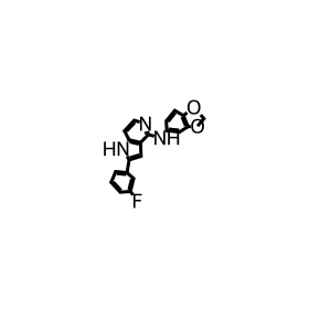 Fc1cccc(-c2cc3c(Nc4ccc5c(c4)OCO5)nccc3[nH]2)c1